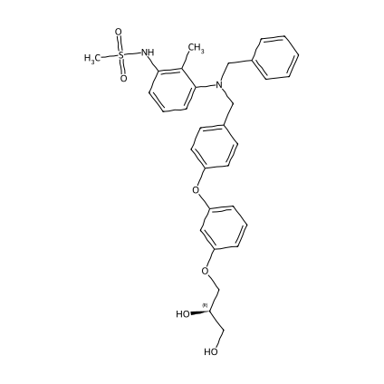 Cc1c(NS(C)(=O)=O)cccc1N(Cc1ccccc1)Cc1ccc(Oc2cccc(OC[C@H](O)CO)c2)cc1